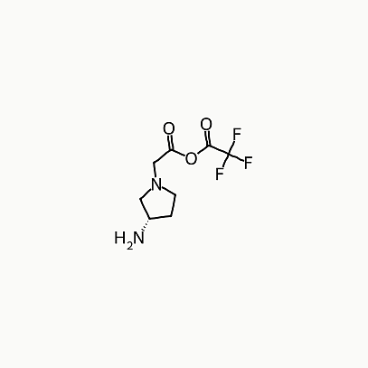 N[C@H]1CCN(CC(=O)OC(=O)C(F)(F)F)C1